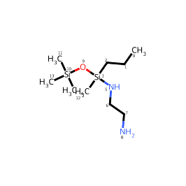 CCC[Si](C)(NCCN)O[Si](C)(C)C